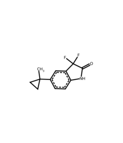 CC1(c2ccc3c(c2)C(F)(F)C(=O)N3)CC1